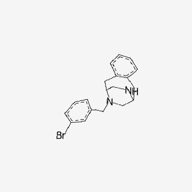 Brc1cccc(CN2CC3Cc4ccccc4CC2CN3)c1